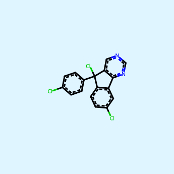 Clc1ccc(C2(Cl)c3ccc(Cl)cc3-c3ncncc32)cc1